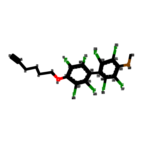 C#CCCCCOc1c(F)c(F)c(-c2c(F)c(F)c(SC)c(F)c2F)c(F)c1F